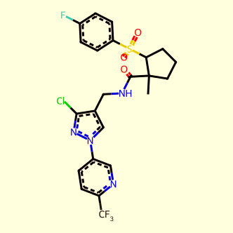 CC1(C(=O)NCc2cn(-c3ccc(C(F)(F)F)nc3)nc2Cl)CCCC1S(=O)(=O)c1ccc(F)cc1